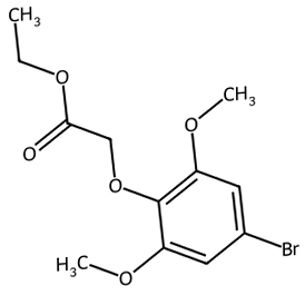 CCOC(=O)COc1c(OC)cc(Br)cc1OC